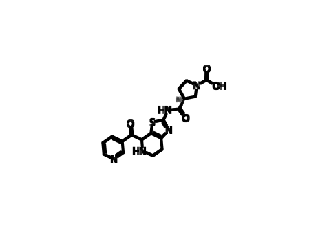 O=C(c1cccnc1)C1NCCc2nc(NC(=O)[C@H]3CCN(C(=O)O)C3)sc21